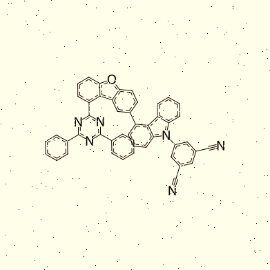 N#Cc1cc(C#N)cc(-n2c3ccccc3c3c(-c4ccc5oc6cccc(-c7nc(-c8ccccc8)nc(-c8ccccc8)n7)c6c5c4)cccc32)c1